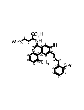 CSCCC(NC(=O)c1ccc(COCc2ccccc2C(C)C)cc1-c1ccccc1C)C(=O)O.[LiH]